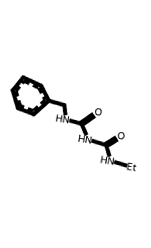 CCNC(=O)NC(=O)NCc1ccccc1